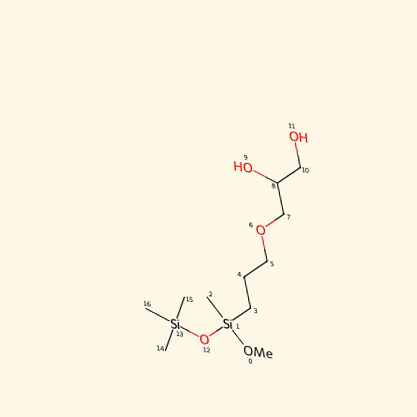 CO[Si](C)(CCCOCC(O)CO)O[Si](C)(C)C